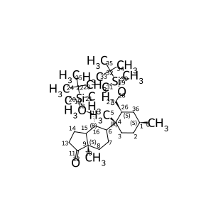 C[C@H]1CC[C@](C)(C2CC[C@]3(C)C(=O)CCC3[C@@H]2CO[Si](C)(C)C(C)(C)C)[C@@H](CO[Si](C)(C)C(C)(C)C)C1